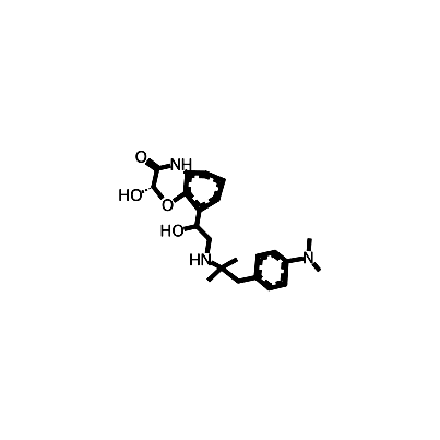 CN(C)c1ccc(CC(C)(C)NCC(O)c2cccc3c2O[C@H](O)C(=O)N3)cc1